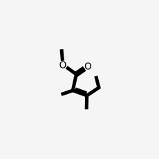 CCC(C)=C(C)C(=O)OC